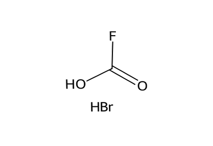 Br.O=C(O)F